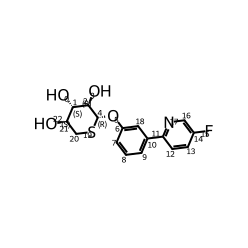 O[C@@H]1[C@@H](O)[C@H](Oc2cccc(-c3ccc(F)cn3)c2)SC[C@H]1O